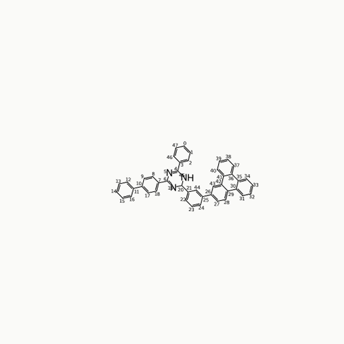 c1ccc(C2=NC(c3ccc(-c4ccccc4)cc3)=NC(c3cccc(-c4ccc5c6ccccc6c6ccccc6c5c4)c3)N2)cc1